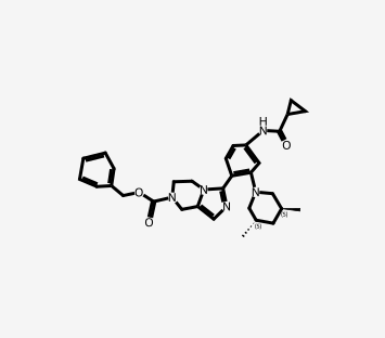 C[C@H]1C[C@H](C)CN(c2cc(NC(=O)C3CC3)ccc2-c2ncc3n2CCN(C(=O)OCc2ccccc2)C3)C1